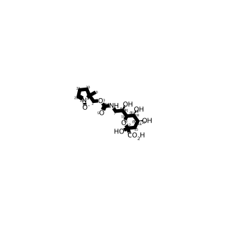 CC1(COC(=O)NC[C@@H](O)C2OC(O)(C(=O)O)C[C@@H](O)[C@H]2O)CCC=[N+]1[O-]